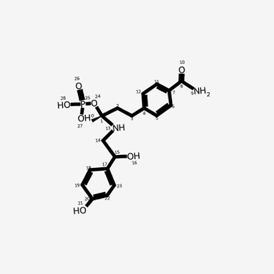 C[C@@](CCc1ccc(C(N)=O)cc1)(NCC(O)c1ccc(O)cc1)OP(=O)(O)O